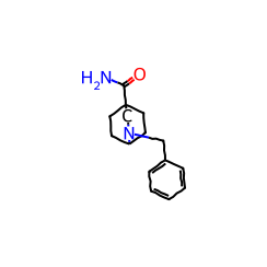 NC(=O)C12CCC(CC1)N(Cc1ccccc1)C2